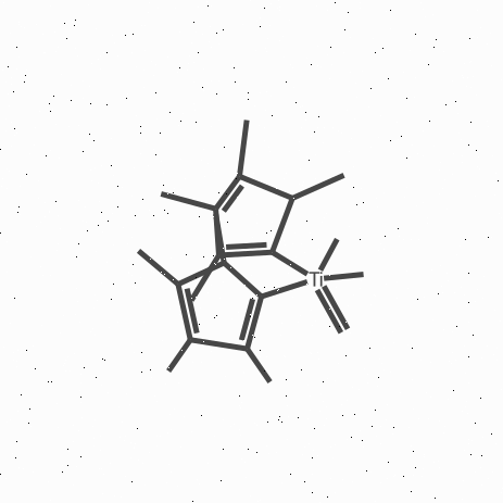 [CH2]=[Ti]([CH3])([CH3])([C]1=C(C)C(C)=C(C)C1C)[C]1=C(C)C(C)=C(C)C1C